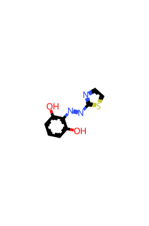 Oc1cccc(O)c1N=Nc1nccs1